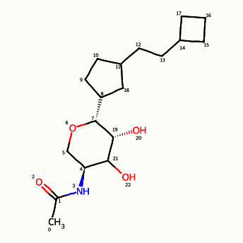 CC(=O)N[C@H]1CO[C@H](C2CCC(CCC3CCC3)C2)[C@H](O)C1O